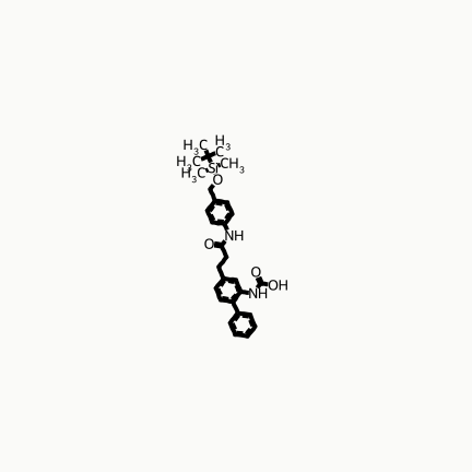 CC(C)(C)[Si](C)(C)OCc1ccc(NC(=O)CCc2ccc(-c3ccccc3)c(NC(=O)O)c2)cc1